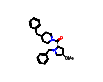 CO[C@@H]1C[C@@H](C(=O)N2CCC(Cc3ccccc3)CC2)N(Cc2ccccc2)C1